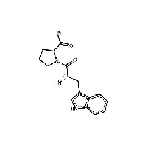 CC(C)C(=O)C1CCCN1C(=O)[C@@H](N)Cc1c[nH]c2ccccc12